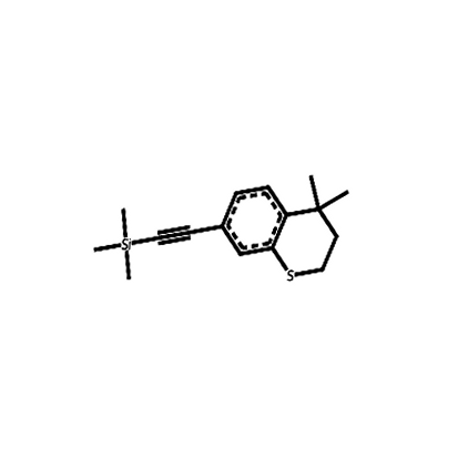 CC1(C)CCSc2cc(C#C[Si](C)(C)C)ccc21